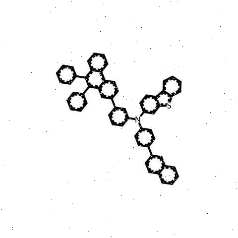 c1ccc(-c2c(-c3ccccc3)c3cc(-c4cccc(N(c5ccc(-c6ccc7ccccc7c6)cc5)c5ccc6c(c5)sc5ccccc56)c4)ccc3c3ccccc23)cc1